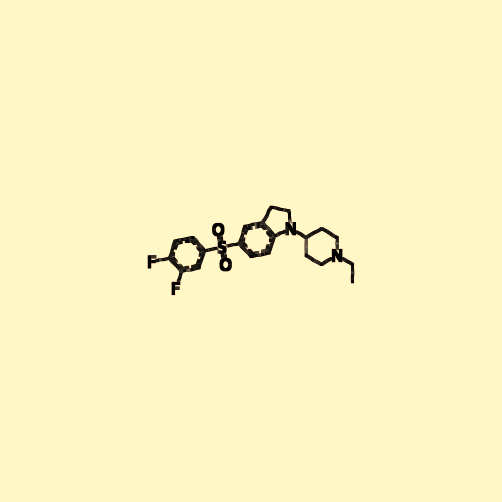 CCN1CCC(N2CCc3cc(S(=O)(=O)c4ccc(F)c(F)c4)ccc32)CC1